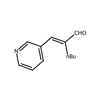 CCCC/C(C=O)=C\c1cccnc1